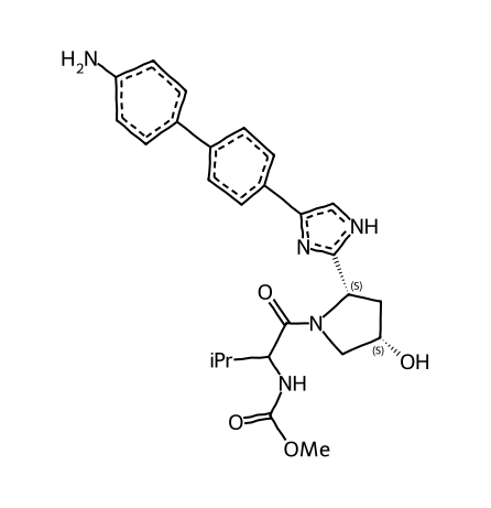 COC(=O)NC(C(=O)N1C[C@@H](O)C[C@H]1c1nc(-c2ccc(-c3ccc(N)cc3)cc2)c[nH]1)C(C)C